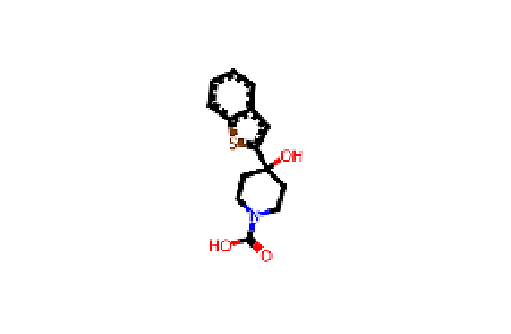 O=C(O)N1CCC(O)(c2cc3ccccc3s2)CC1